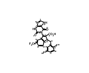 O=C(O)c1c(-n2c(=O)[nH]c3nc[nH]c3c2=O)c2cc(C(F)(F)F)ccc2n1Cc1cc(F)ccc1F